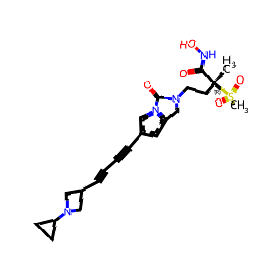 C[C@@](CCN1Cc2cc(C#CC#CC3CN(C4CC4)C3)cn2C1=O)(C(=O)NO)S(C)(=O)=O